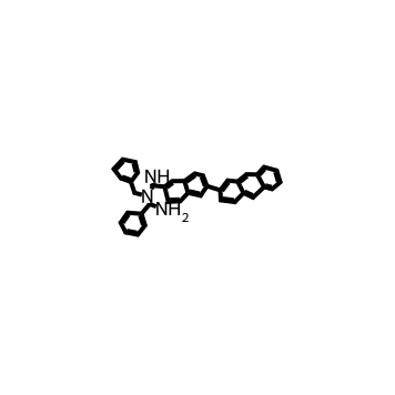 N=C(c1ccc2cc(-c3ccc4cc5ccccc5cc4c3)ccc2c1)N(Cc1ccccc1)C(N)c1ccccc1